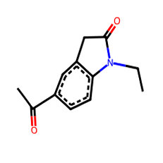 CCN1C(=O)Cc2cc(C(C)=O)ccc21